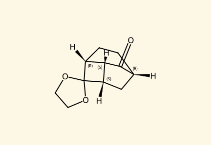 O=C1[C@@H]2CC[C@@H]3[C@H]1[C@H](C2)C31OCCO1